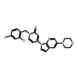 O=c1cc(-n2ccc3cc(N4CCOCC4)cnc32)ccn1Cc1ccc(Cl)cc1Cl